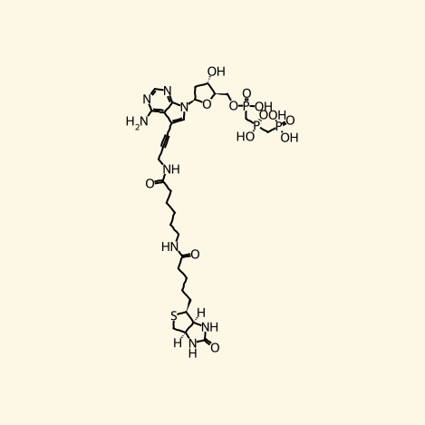 Nc1ncnc2c1c(C#CCNC(=O)CCCCCNC(=O)CCCC[C@@H]1SC[C@@H]3NC(=O)N[C@@H]31)cn2[C@H]1C[C@H](O)[C@@H](COP(=O)(O)CP(=O)(O)CP(=O)(O)O)O1